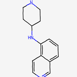 c1cc(NC2CCNCC2)c2ccncc2c1